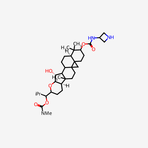 CNC(=O)OC(C(C)C)C1CC[C@H]2C(O1)[C@H](O)C1C3CC[C@H]4C(C)(C)C(OC(=O)NC5CNC5)CCC45CC35CCC12C